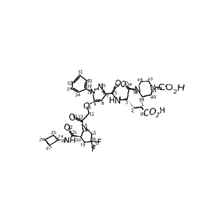 O=C(O)CC[C@H](NC(=O)c1cc(OCC(=O)N2CC(F)(F)C[C@H]2C(=O)NC2CCC2)n(-c2ccccc2)n1)C(=O)N1CCN(C(=O)O)CC1